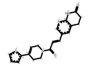 O=C1CCc2cc(C=CC(=O)N3CC=C(c4cccs4)CC3)cnc2N1